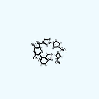 COc1cc2[nH]nc(-c3cnn([C@H]4CCN(C(=O)[C@H]5C[C@H](O)C5)C4)c3)c2nc1-c1cccc2c1CCC2